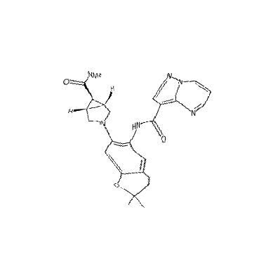 CNC(=O)[C@H]1[C@@H]2CN(c3cc4c(cc3NC(=O)c3cnn5cccnc35)CC(C)(C)O4)C[C@@H]21